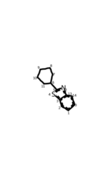 c1ccc2sc(C3CCCCC3)nc2c1